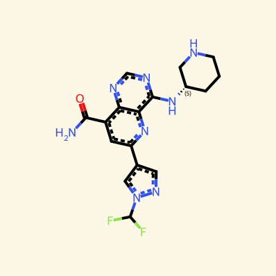 NC(=O)c1cc(-c2cnn(C(F)F)c2)nc2c(N[C@H]3CCCNC3)ncnc12